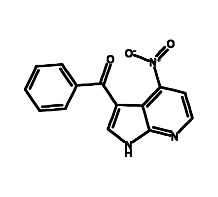 O=C(c1ccccc1)c1c[nH]c2nccc([N+](=O)[O-])c12